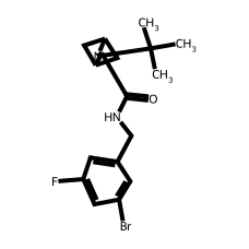 CC(C)(C)N1C2CC(C2)C1C(=O)NCc1cc(F)cc(Br)c1